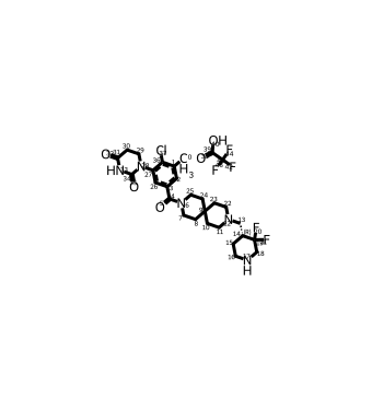 Cc1cc(C(=O)N2CCC3(CCN(C[C@H]4CCNCC4(F)F)CC3)CC2)cc(N2CCC(=O)NC2=O)c1Cl.O=C(O)C(F)(F)F